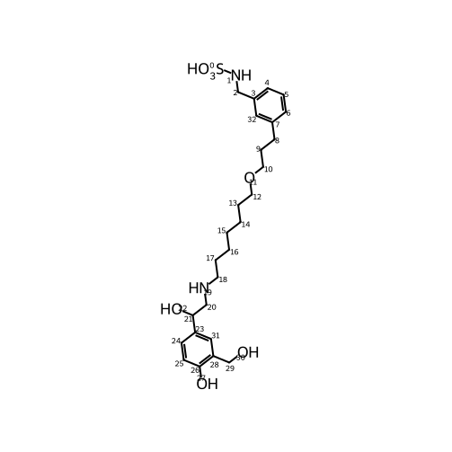 O=S(=O)(O)NCc1cccc(CCCOCCCCCCCNCC(O)c2ccc(O)c(CO)c2)c1